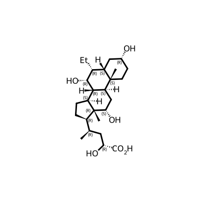 CC[C@H]1[C@@H](O)[C@@H]2[C@H](C[C@H](O)[C@]3(C)[C@@H]([C@H](C)C[C@@H](O)C(=O)O)CC[C@@H]23)[C@@]2(C)CC[C@@H](O)C[C@@H]12